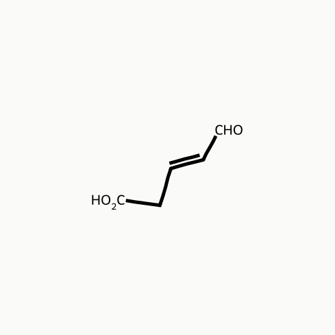 O=C/C=C/CC(=O)O